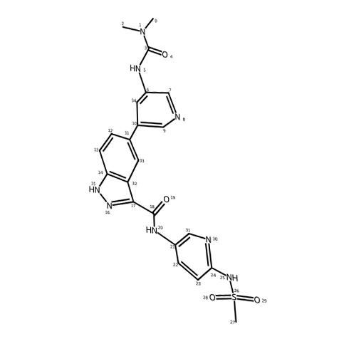 CN(C)C(=O)Nc1cncc(-c2ccc3[nH]nc(C(=O)Nc4ccc(NS(C)(=O)=O)nc4)c3c2)c1